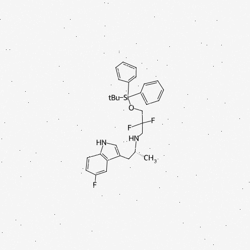 C[C@H](Cc1c[nH]c2ccc(F)cc12)NCC(F)(F)CO[Si](c1ccccc1)(c1ccccc1)C(C)(C)C